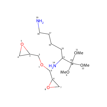 C(OCC1CO1)C1CO1.CO[Si](OC)(OC)C(N)CCCCN